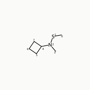 CSN(C)C1CCC1